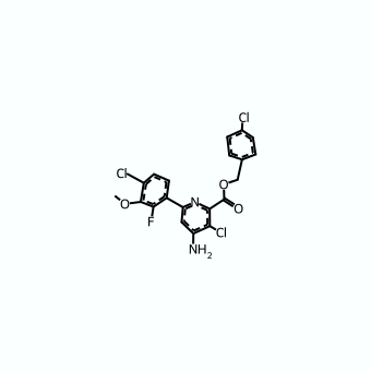 COc1c(Cl)ccc(-c2cc(N)c(Cl)c(C(=O)OCc3ccc(Cl)cc3)n2)c1F